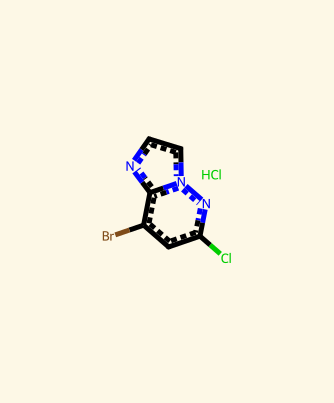 Cl.Clc1cc(Br)c2nccn2n1